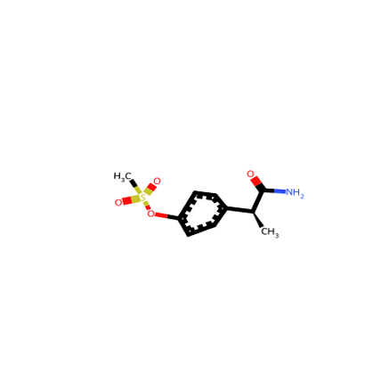 C[C@H](C(N)=O)c1ccc(OS(C)(=O)=O)cc1